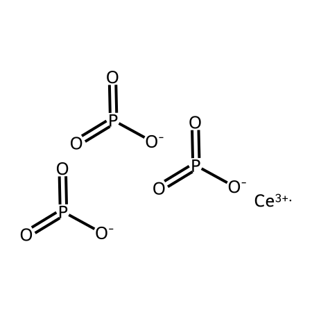 O=P(=O)[O-].O=P(=O)[O-].O=P(=O)[O-].[Ce+3]